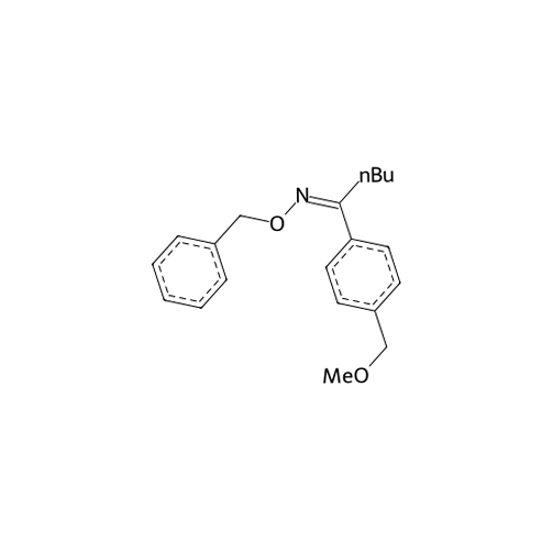 CCCCC(=NOCc1ccccc1)c1ccc(COC)cc1